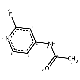 CC(=O)Nc1ccnc(F)c1